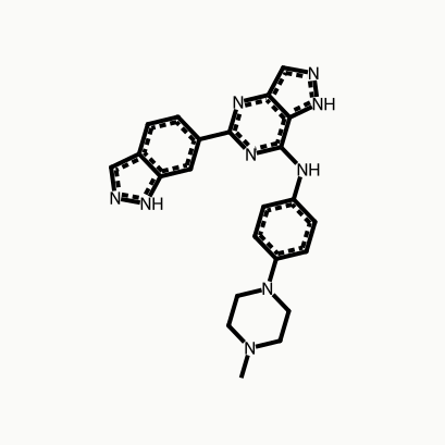 CN1CCN(c2ccc(Nc3nc(-c4ccc5cn[nH]c5c4)nc4cn[nH]c34)cc2)CC1